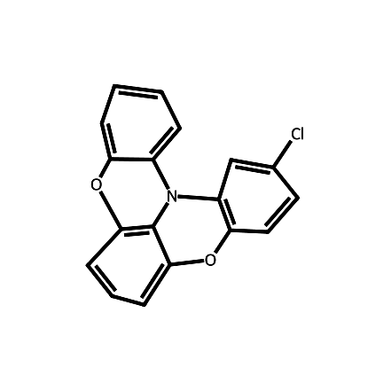 Clc1ccc2c(c1)N1c3ccccc3Oc3cccc(c31)O2